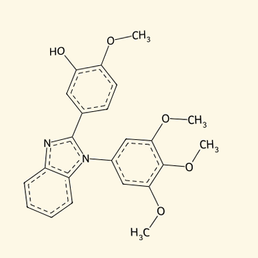 COc1ccc(-c2nc3ccccc3n2-c2cc(OC)c(OC)c(OC)c2)cc1O